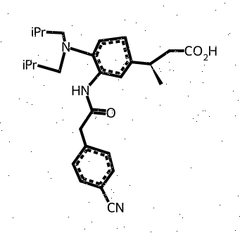 CC(C)CN(CC(C)C)c1ccc([C@H](C)CC(=O)O)cc1NC(=O)Cc1ccc(C#N)cc1